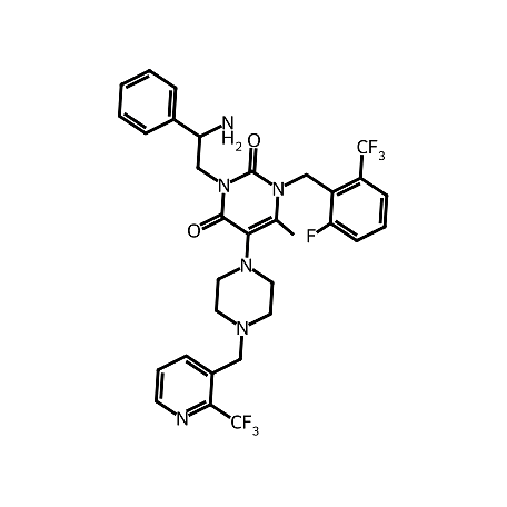 Cc1c(N2CCN(Cc3cccnc3C(F)(F)F)CC2)c(=O)n(CC(N)c2ccccc2)c(=O)n1Cc1c(F)cccc1C(F)(F)F